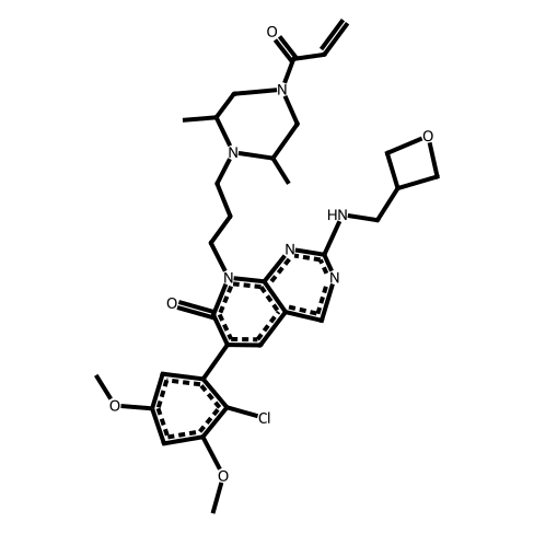 C=CC(=O)N1CC(C)N(CCCn2c(=O)c(-c3cc(OC)cc(OC)c3Cl)cc3cnc(NCC4COC4)nc32)C(C)C1